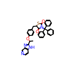 CC(Oc1ccc(CC2SC(=O)N(C(c3ccccc3)(c3ccccc3)c3ccccc3)C2=O)cc1)c1nc2cnccc2[nH]1